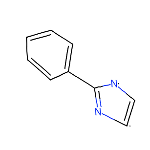 [C]1=C[N]C(c2ccccc2)=N1